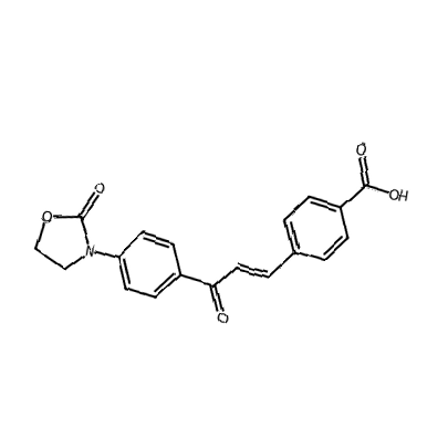 O=C(O)c1ccc(C=CC(=O)c2ccc(N3CCOC3=O)cc2)cc1